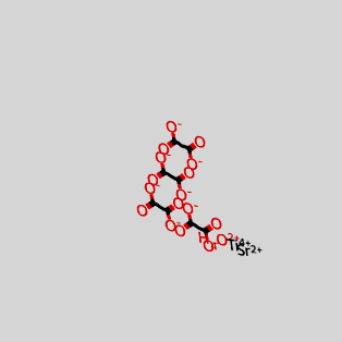 O=C([O-])C(=O)[O-].O=C([O-])C(=O)[O-].O=C([O-])C(=O)[O-].O=C([O-])C(=O)[O-].[OH4+2].[Sr+2].[Ti+4]